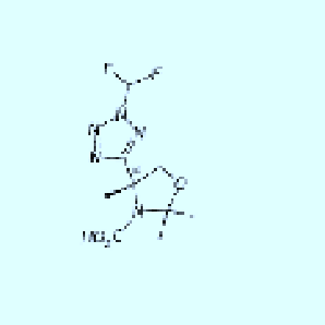 CC1(C)OC[C@@](C)(c2nnn(C(F)F)n2)N1C(=O)O